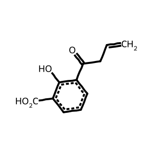 C=CCC(=O)c1cccc(C(=O)O)c1O